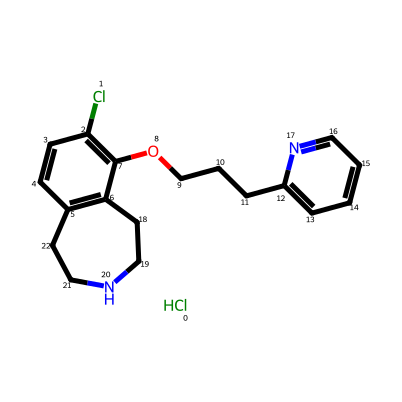 Cl.Clc1ccc2c(c1OCCCc1ccccn1)CCNCC2